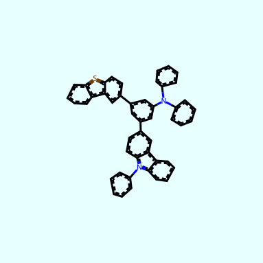 c1ccc(N(c2ccccc2)c2cc(-c3ccc4sc5ccccc5c4c3)cc(-c3ccc4c(c3)c3ccccc3n4-c3ccccc3)c2)cc1